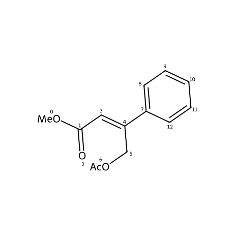 COC(=O)C=C(COC(C)=O)c1ccccc1